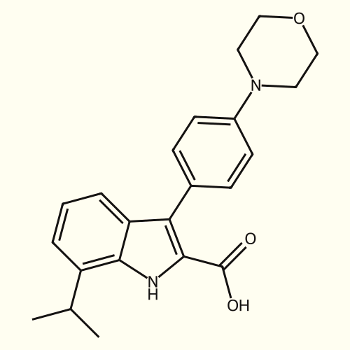 CC(C)c1cccc2c(-c3ccc(N4CCOCC4)cc3)c(C(=O)O)[nH]c12